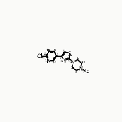 CC(=O)N1CCN(c2nc(-c3ccc(Cl)nc3)cs2)CC1